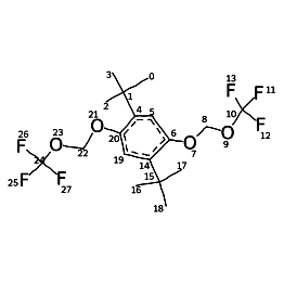 CC(C)(C)c1cc(OCOC(F)(F)F)c(C(C)(C)C)cc1OCOC(F)(F)F